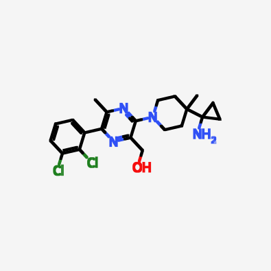 Cc1nc(N2CCC(C)(C3(N)CC3)CC2)c(CO)nc1-c1cccc(Cl)c1Cl